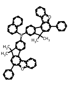 CC1(C)c2cc(N(c3ccc4c(c3)C(C)(C)c3cc(-c5ccccc5)c5oc6ccccc6c5c3-4)c3cccc4ccccc34)ccc2-c2c1cc(-c1ccccc1)c1oc3ccccc3c21